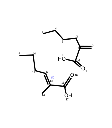 C=C(CCCC)C(=O)O.CCC/C=C(\C)C(=O)O